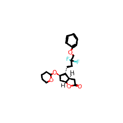 O=C1C[C@@H]2[C@@H](CCC(F)(F)COc3ccccc3)[C@H](OC3CCCCO3)C[C@@H]2O1